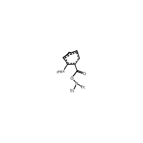 CCCCCCc1ccccc1C(=O)ON(CC)CC